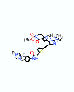 CCN1CCN(Cc2ccc(NC(=O)Cc3ccc(C#Cc4cnc(N(C)C(C)=O)nc4-c4cc5c(n4C)CCN(C(=O)OC(C)(C)C)C5=O)s3)cc2C(F)(F)F)CC1